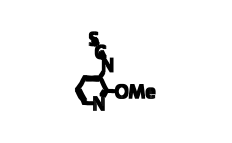 COc1ncccc1N=C=S